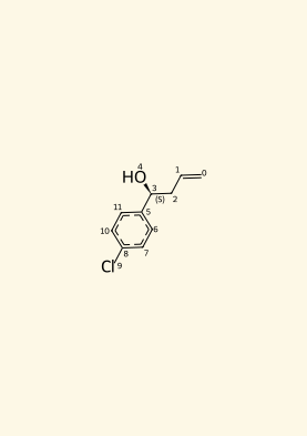 C=CC[C@H](O)c1ccc(Cl)cc1